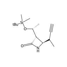 C#CC(C)[C@H]1NC(=O)[C@@H]1[C@@H](C)O[Si](C)(C)C(C)(C)C